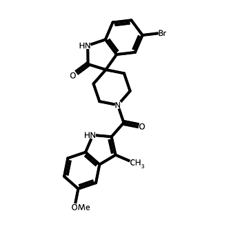 COc1ccc2[nH]c(C(=O)N3CCC4(CC3)C(=O)Nc3ccc(Br)cc34)c(C)c2c1